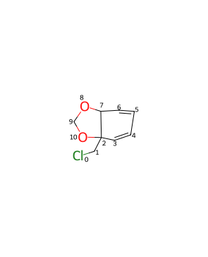 ClCC12C=CC=CC1OCO2